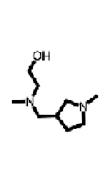 CN(CCO)CC1CCN(C)C1